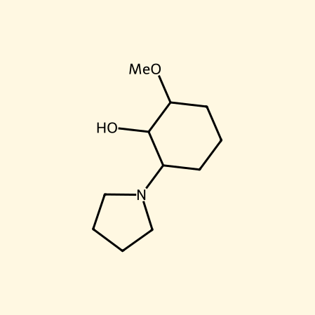 COC1CCCC(N2CCCC2)C1O